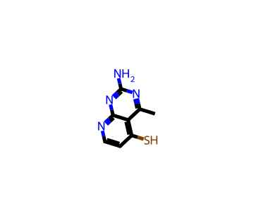 Cc1nc(N)nc2nccc(S)c12